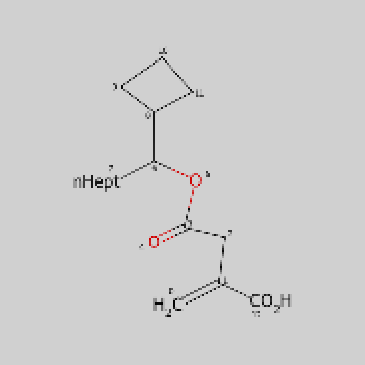 C=C(CC(=O)OC(CCCCCCC)C1CCC1)C(=O)O